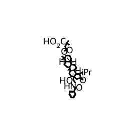 CC(C)C1=C2[C@H]3CC[C@@H]4[C@@]5(C)CC[C@H](OC(=O)CC(C)(C)C(=O)O)C(C)(C)[C@@H]5CC[C@@]4(C)[C@]3(C)CCC2(C(O)CNC(=O)c2ccccc2)CC1=O